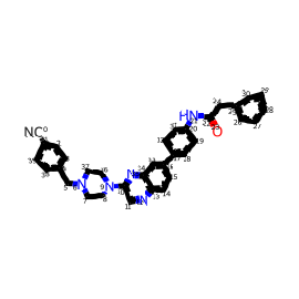 N#Cc1ccc(CN2CCN(c3cnc4ccc(-c5ccc(NC(=O)Cc6ccccc6)cc5)cc4n3)CC2)cc1